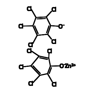 [O-]c1c(Cl)c(Cl)c(Cl)c(Cl)c1Cl.[O-]c1c(Cl)c(Cl)c(Cl)c(Cl)c1Cl.[Zn+2]